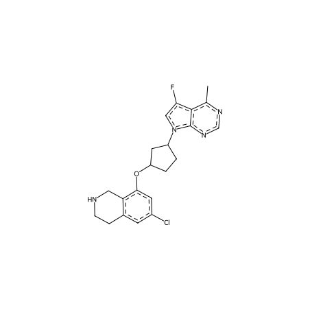 Cc1ncnc2c1c(F)cn2C1CCC(Oc2cc(Cl)cc3c2CNCC3)C1